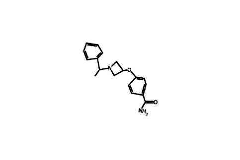 CC(c1ccccc1)N1CC(Oc2ccc(C(N)=O)cc2)C1